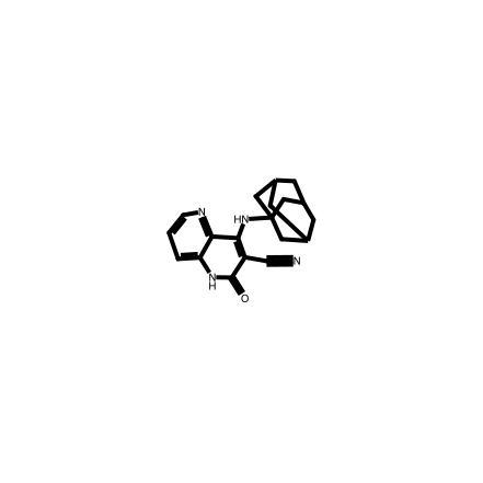 N#Cc1c(NC23CC4CC(CC(C4)C2)C3)c2ncccc2[nH]c1=O